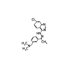 CC(=NNc1ncnc2cc(Cl)ccc12)c1cccc(CN(C)C)c1